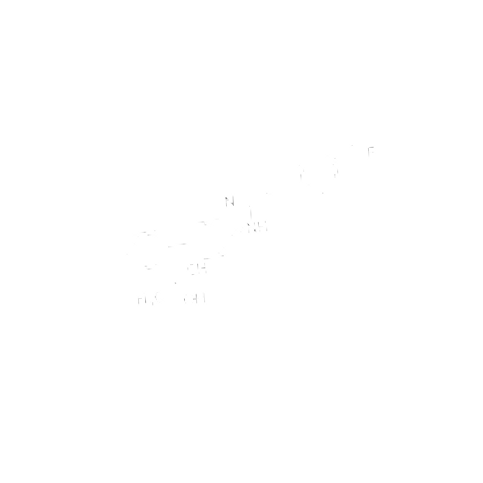 CC(C)(O)c1ccccc1-c1ccc2[nH]c(CCc3ccc(CF)cc3)nc2c1